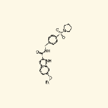 CCOc1ccc2cc(C(=O)NCc3ccc(S(=O)(=O)N4CCCC4)cc3)[nH]c2c1